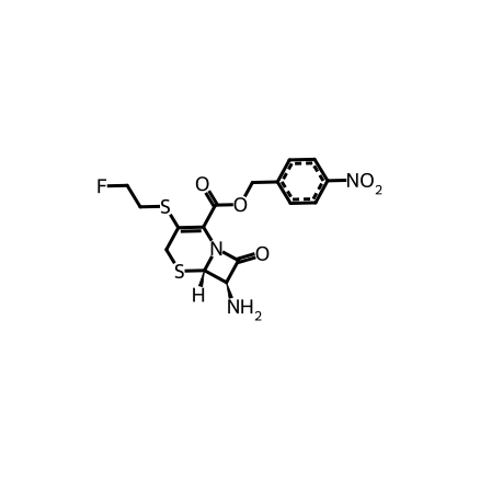 N[C@@H]1C(=O)N2C(C(=O)OCc3ccc([N+](=O)[O-])cc3)=C(SCCF)CS[C@@H]12